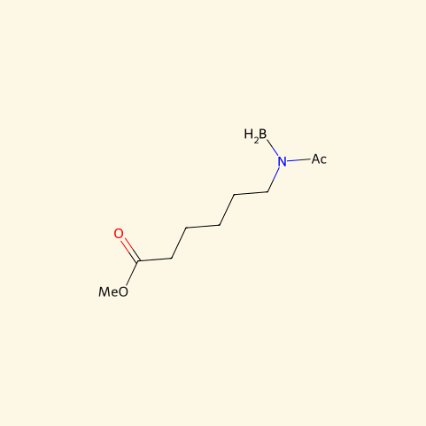 BN(CCCCCC(=O)OC)C(C)=O